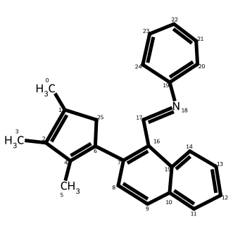 CC1=C(C)C(C)=C(c2ccc3ccccc3c2C=Nc2ccccc2)C1